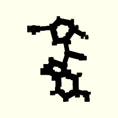 Nc1ccc(F)c(C(=O)c2c[nH]c3ncc(Br)cc23)c1